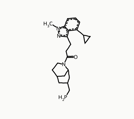 Cn1nc(CCC(=O)N2CCC3CC(CP)CC2C3)c2c(C3CC3)cccc21